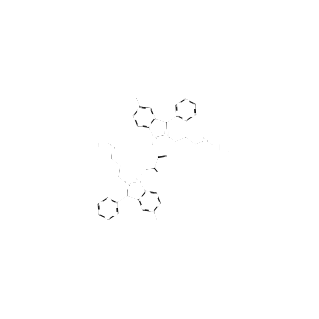 CNCCCN1C(c2ccccc2)c2cc(Cl)ccc2N1OC(=O)C(=O)ON1c2ccc(Cl)cc2C(c2ccccc2)N1CCCNC